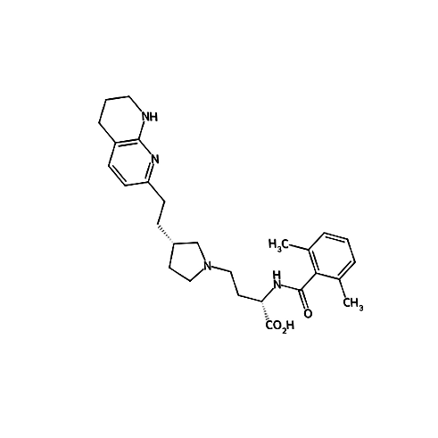 Cc1cccc(C)c1C(=O)N[C@@H](CCN1CC[C@H](CCc2ccc3c(n2)NCCC3)C1)C(=O)O